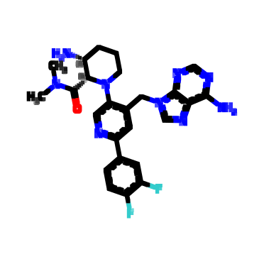 CN(C)C(=O)[C@@H]1[C@H](N)CCCN1c1cnc(-c2ccc(F)c(F)c2)cc1Cn1cnc2c(N)ncnc21